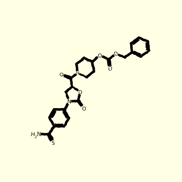 NC(=S)c1ccc(N2CC(C(=O)N3CCC(OC(=O)OCc4ccccc4)CC3)OC2=O)cc1